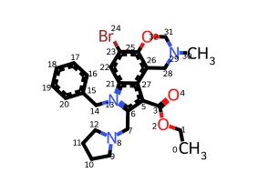 CCOC(=O)c1c(CN2CCCC2)n(Cc2ccccc2)c2cc(Br)c3c(c12)CN(C)CO3